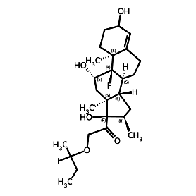 CCC(C)(I)OCC(=O)[C@@]1(O)[C@H](C)C[C@H]2[C@@H]3CCC4=CC(O)CC[C@]4(C)[C@@]3(F)[C@@H](O)C[C@@]21C